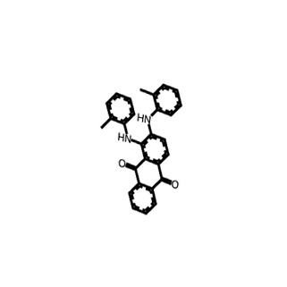 Cc1ccccc1Nc1ccc2c(c1Nc1ccccc1C)C(=O)c1ccccc1C2=O